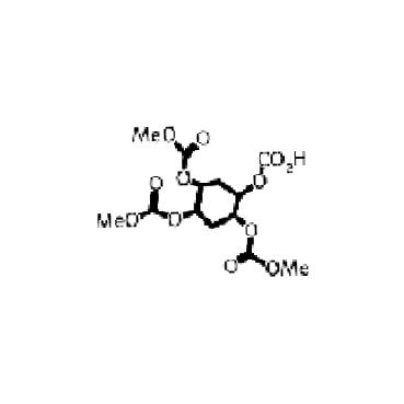 COC(=O)OC1CC(OC(=O)OC)C(OC(=O)OC)CC1OC(=O)O